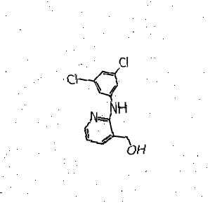 OCc1cccnc1Nc1cc(Cl)cc(Cl)c1